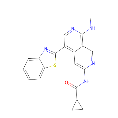 CNc1ncc(-c2nc3ccccc3s2)c2cc(NC(=O)C3CC3)ncc12